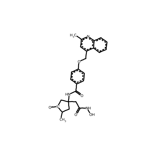 Cc1cc(COc2ccc(C(=O)NC3(CC(=O)NO)CC(C)[S+]([O-])C3)cc2)c2ccccc2n1